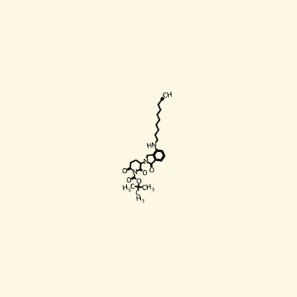 C#CCCCCCCCCNc1cccc2c1CN(C1CCC(=O)N(C(=O)OC(C)(C)C)C1=O)C2=O